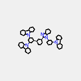 c1cc(-c2cc(-n3c4ccccc4c4ccccc43)cc(-n3c4ccccc4c4ccccc43)c2)cc(-c2nc3ccccc3n2-c2cccc(-n3c4ccccc4c4ccccc43)c2)c1